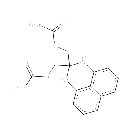 CCCCCC(=O)OCC1(COC(=O)CCCCC)Nc2cccc3cccc(c23)N1